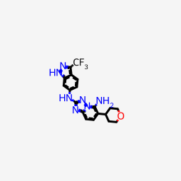 Nc1c(C2CCOCC2)ccc2nc(Nc3ccc4c(C(F)(F)F)n[nH]c4c3)nn12